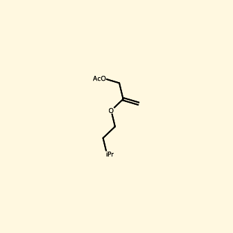 C=C(COC(C)=O)OCCC(C)C